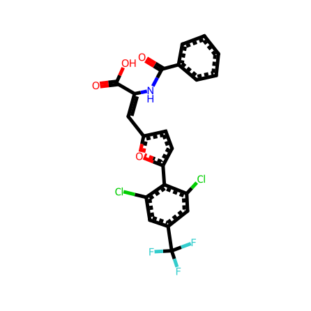 O=C(O)C(=Cc1ccc(-c2c(Cl)cc(C(F)(F)F)cc2Cl)o1)NC(=O)c1ccccc1